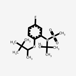 CC(Oc1ccc(F)cc1N(C(C)(C)C)S(C)(=O)=O)C(C)(C)C